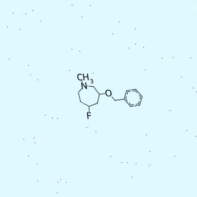 CN1CCC(F)CC(OCc2ccccc2)C1